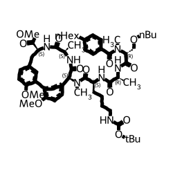 CCCCCCc1ccc(C(=O)N(C)[C@H](COCCCC)C(=O)N[C@H](C)C(=O)N[C@@H](CCCCNC(=O)OC(C)(C)C)C(=O)N(C)[C@@H]2C(=O)N[C@@H](C)C(=O)N[C@H](C(=O)OC)Cc3ccc(OC)c(c3)-c3cc2ccc3OC)cc1